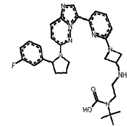 CC(C)(C)N(CCNC1CN(c2cccc(-c3cnc4ccc(N5CCCC5c5cccc(F)c5)nn34)n2)C1)C(=O)O